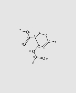 COC(=O)C1CCC(C)=CC1OC(C)=O